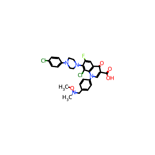 CON(C)Cc1ccc(-n2cc(C(=O)O)c(=O)c3cc(F)c(N4CCN(c5ccc(Cl)cc5)CC4)c(Cl)c32)cc1